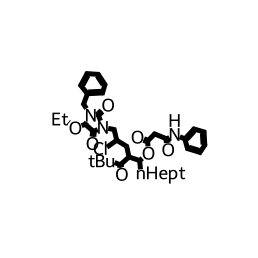 CCCCCCCC(OC(=O)CC(=O)Nc1ccccc1)C(CC(Cl)CN1C(=O)C(OCC)N(Cc2ccccc2)C1=O)C(=O)C(C)(C)C